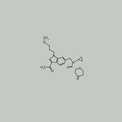 COCCCn1cc(C(C)=O)c2ccc(CN(C(=O)[C@H]3CNCCO3)C3CC3)cc21